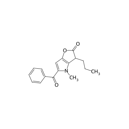 CCCC1C(=O)Oc2cc(C(=O)c3ccccc3)n(C)c21